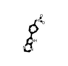 O=[SH](=O)Cc1ccc(-c2cc3nccnc3[nH]2)cc1